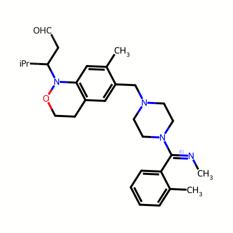 C/N=C(\c1ccccc1C)N1CCN(Cc2cc3c(cc2C)N(C(CC=O)C(C)C)OCC3)CC1